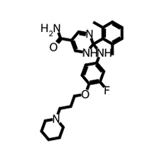 Cc1cccc(C)c1C1(Nc2ccc(OCCCN3CCCCC3)c(F)c2)N=CC(C(N)=O)=CN1